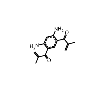 C=C(C)C(=O)c1cc(C(=O)C(=C)C)c(N)cc1N